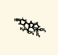 C=C(C)c1c(-c2ccc(S)cc2)sc2c1CC(C)(C)CC2